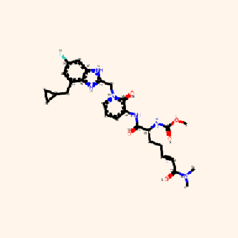 COC(=O)N[C@@H](CC/C=C/C(=O)N(C)C)C(=O)Nc1cccn(Cc2nc3c(CC4CC4)cc(F)cc3[nH]2)c1=O